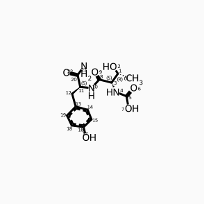 C[C@@H](O)[C@H](NC(=O)O)C(=O)N[C@@H](Cc1ccc(O)cc1)C(N)=O